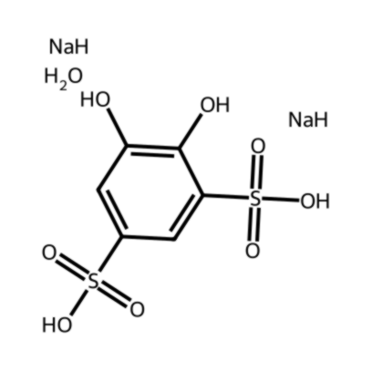 O.O=S(=O)(O)c1cc(O)c(O)c(S(=O)(=O)O)c1.[NaH].[NaH]